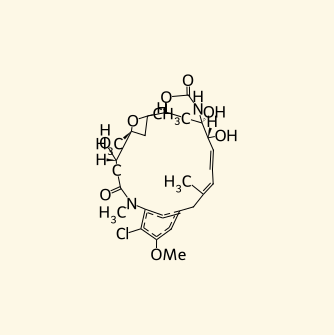 COc1cc2cc(c1Cl)N(C)C(=O)C[C@H](O)[C@@]1(C)CC(C)(O1)[C@@H]1C[C@@](O)(NC(=O)O1)[C@H](O)/C=C/C=C(\C)C2